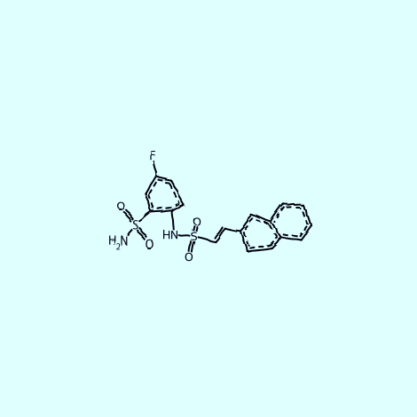 NS(=O)(=O)c1cc(F)ccc1NS(=O)(=O)/C=C/c1ccc2ccccc2c1